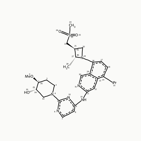 CO[C@H]1CCN(c2nccc(Nc3cc4c(C(C)C)ccc(N5C[C@H](CS(C)(=O)=O)[C@H]5C)c4cn3)n2)C[C@@H]1O